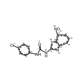 O=C(Nc1ccc(Cl)cc1)Nc1nc2cccc([N+](=O)[O-])c2s1